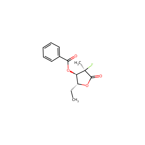 CC[C@H]1OC(=O)[C@](C)(F)[C@@H]1OC(=O)c1ccccc1